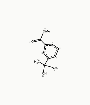 COC(=O)c1cccc(C(C)(C)O)c1